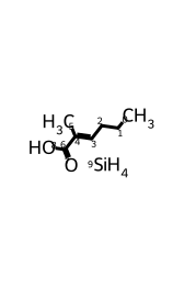 CCC/C=C(\C)C(=O)O.[SiH4]